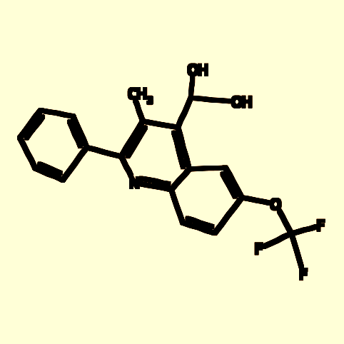 Cc1c(-c2ccccc2)nc2ccc(OC(F)(F)F)cc2c1C(O)O